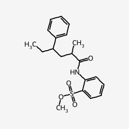 CCC(CC(C)C(=O)Nc1ccccc1S(=O)(=O)OC)c1ccccc1